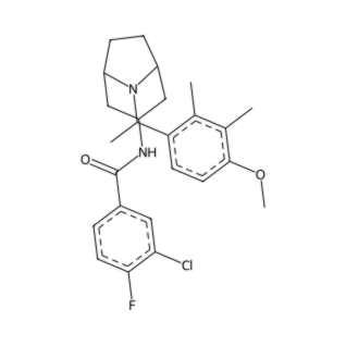 COc1ccc(C(C)N2C3CCC2CC(NC(=O)c2ccc(F)c(Cl)c2)C3)c(C)c1C